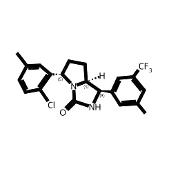 Cc1cc([C@H]2NC(=O)N3[C@H](c4cc(C)ccc4Cl)CC[C@@H]23)cc(C(F)(F)F)c1